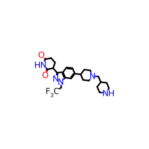 O=C1CCC(c2nn(CC(F)(F)F)c3cc(C4CCN(CC5CCNCC5)CC4)ccc23)C(=O)N1